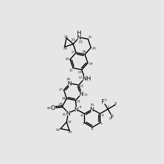 CC(F)(F)c1cccc(-n2c3nc(Nc4ccc5c(c4)CCNC54CC4)ncc3c(=O)n2C2CC2)n1